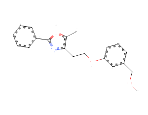 COCc1[c]c(OCCc2nc(-c3ccccc3)oc2C)ccc1